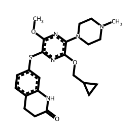 COc1nc(N2CCN(C)CC2)c(OCC2CC2)nc1Sc1ccc2c(c1)NC(=O)CC2